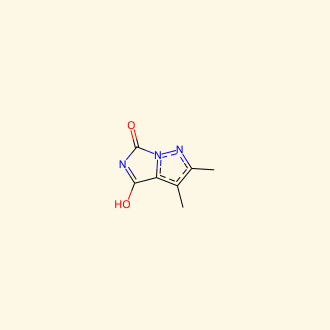 Cc1nn2c(c1C)C(O)=NC2=O